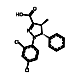 C[C@@H]1C(C(=O)O)=NN(c2ccc(Cl)cc2Cl)[C@H]1c1ccccc1